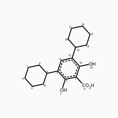 O=C(O)c1c(O)c(C2CCCCC2)cc(C2CCCCC2)c1O